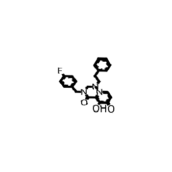 O=C1c2c(O)c(=O)ccn2N(CCc2ccccc2)CN1Cc1ccc(F)cc1